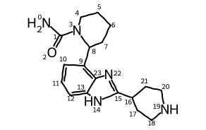 NC(=O)N1CCCCC1c1cccc2[nH]c(C3CCNCC3)nc12